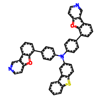 c1ccc2c(c1)sc1ccc(N(c3ccc(-c4cccc5c4oc4ccncc45)cc3)c3ccc(-c4cccc5c4oc4ccncc45)cc3)cc12